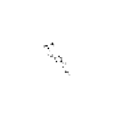 CC(C)(C)OC(=O)N[C@H]1CO[C@H](c2nnc(C3(OC(F)(F)F)CCC3)o2)CC1(F)F